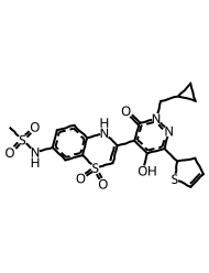 CS(=O)(=O)Nc1ccc2c(c1)S(=O)(=O)C=C(c1c(O)c(C3CC=CS3)nn(CC3CC3)c1=O)N2